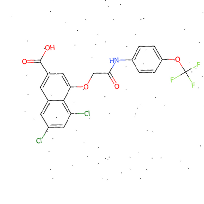 O=C(COc1cc(C(=O)O)cc2cc(Cl)cc(Cl)c12)Nc1ccc(OC(F)(F)F)cc1